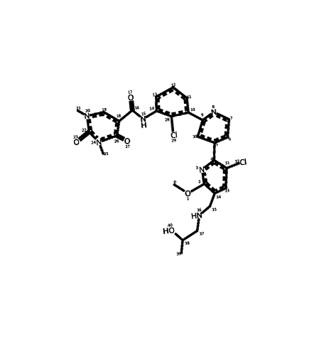 COc1nc(-c2ccnc(-c3cccc(NC(=O)c4cn(C)c(=O)n(C)c4=O)c3Cl)c2)c(Cl)cc1CNCC(C)O